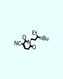 CCCCC(CC)CCN1C(=O)CC=C(C#N)C1=O